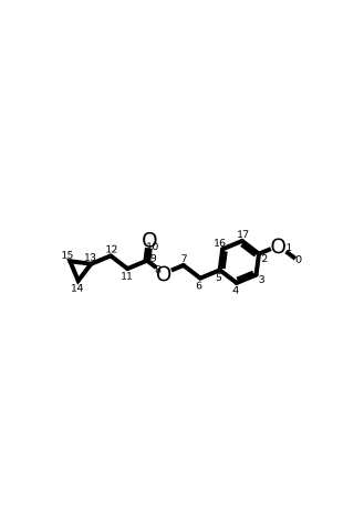 COc1ccc(CCOC(=O)CCC2CC2)cc1